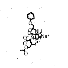 CO[C@]1(NC(=O)COc2ccccc2)C(=O)N2C(C(=O)[O-])=C(COC(C)=O)CS[C@@H]21.[Na+]